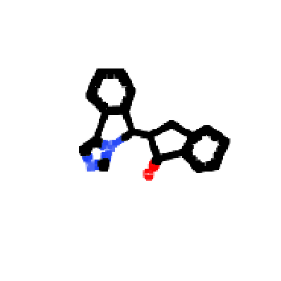 O=C1c2ccccc2CC1C1c2ccccc2-c2cncn21